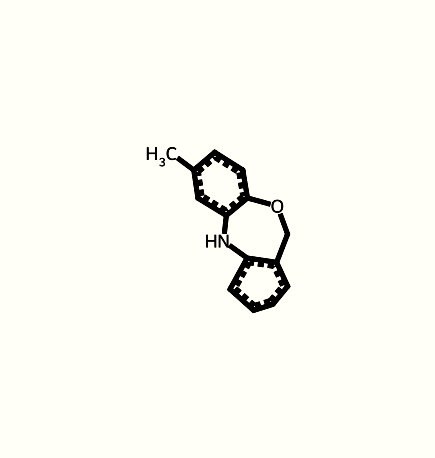 Cc1ccc2c(c1)Nc1ccccc1CO2